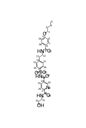 CCCCOc1ccc(C(=O)NCCc2ccc(S(=O)(=O)NC(=O)c3ccc(C(=O)NCCO)nc3)cc2)cc1